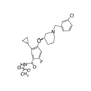 CS(=O)(=O)NC(=O)c1cc(C2CC2)c(O[C@@H]2CCCN(Cc3cccc(Cl)c3)C2)cc1F